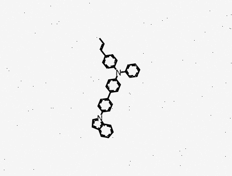 C/C=C/c1ccc(N(c2ccccc2)c2ccc(-c3ccc(-n4ccc5ccccc54)cc3)cc2)cc1